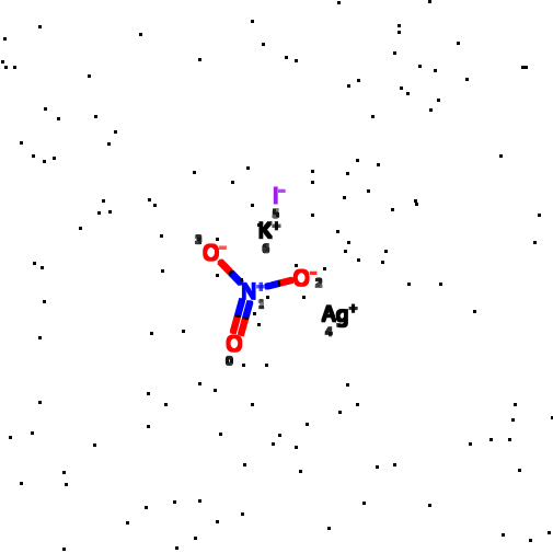 O=[N+]([O-])[O-].[Ag+].[I-].[K+]